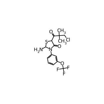 CC(C)(CCl)C(=O)C1SC(N)N(c2cccc(OC(F)(F)F)c2)C1=O